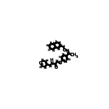 C/C(=N/OCc1ccc2ccccc2c1)c1ccc(OCC(=O)NCC2=CCOCC2)nc1